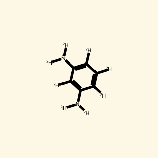 [2H]c1c([2H])c(N([2H])[2H])c([2H])c(N([2H])[2H])c1[2H]